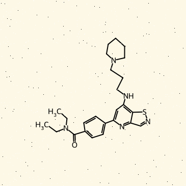 CCN(CC)C(=O)c1ccc(-c2cc(NCCCN3CCCCC3)c3sncc3n2)cc1